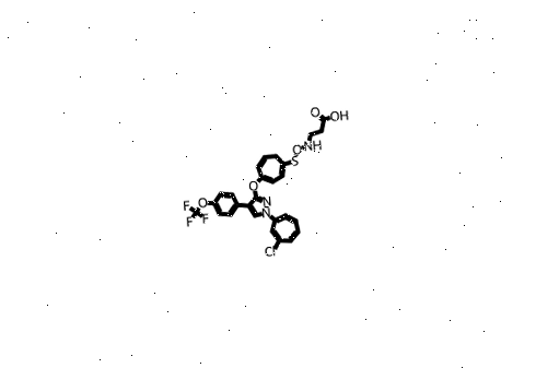 O=C(O)CCNOSC1=CC=C(Oc2nn(C3=C=CC=CC(Cl)=C3)cc2-c2ccc(OC(F)(F)F)cc2)C=CC1